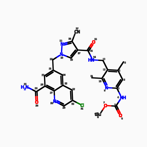 Cc1cc(NC(=O)OC(C)(C)C)nc(C)c1CNC(=O)c1cn(Cc2cc(C(N)=O)c3ncc(Cl)cc3c2)nc1C#N